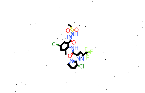 CCS(=O)(=O)NNC(=O)c1cc(Cl)cc(C)c1NC(=O)c1cc(C(F)(F)F)nn1-c1ncccc1Cl